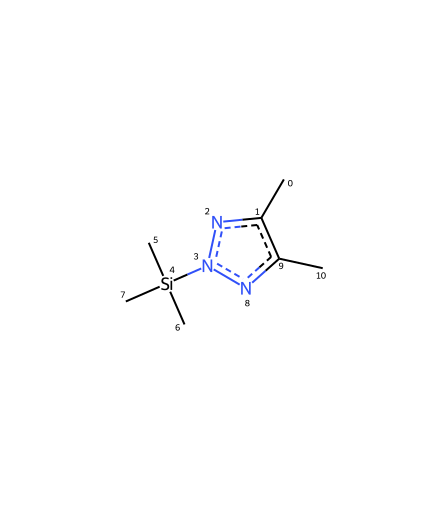 Cc1nn([Si](C)(C)C)nc1C